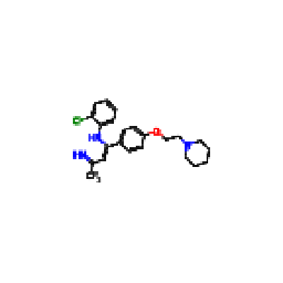 N=C(/C=C(\Nc1ccccc1Cl)c1ccc(OCCN2CCCCC2)cc1)C(F)(F)F